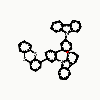 c1cc(-c2ccc(-c3cccc4c3Sc3ccccc3S4)cc2-n2c3ccccc3c3ccccc32)cc(-n2c3ccccc3c3ccccc32)c1